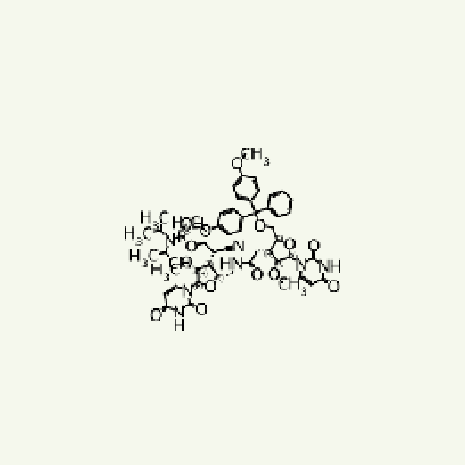 COc1ccc(C(OC[C@H]2O[C@@H](n3ccc(=O)[nH]c3=O)[C@H](OC)[C@@H]2CC(=O)NC[C@@H]2O[C@@H](n3ccc(=O)[nH]c3=O)[C@H](OC)[C@@H]2C(C#N)COP(O)N(C(C)C)C(C)C)(c2ccccc2)c2ccc(OC)cc2)cc1